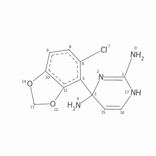 NC1=NC(N)(c2c(Cl)ccc3c2OCO3)C=CN1